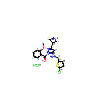 COc1ccccc1C(=O)n1nc(C2CNC2)cc1NCc1ccc(Cl)s1.Cl